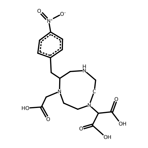 O=C(O)CN1CCN(C(C(=O)O)C(=O)O)CCNCC1Cc1ccc([N+](=O)[O-])cc1